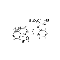 CCOC(=O)C(Cc1ccccc1OCc1cnc2c(F)cccc2c1OC(C)C)OCC